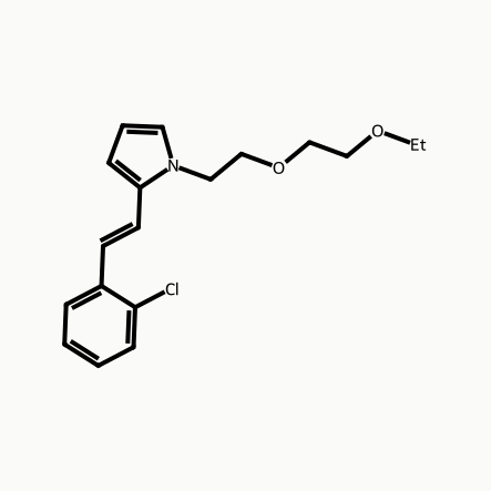 CCOCCOCCn1cccc1/C=C/c1ccccc1Cl